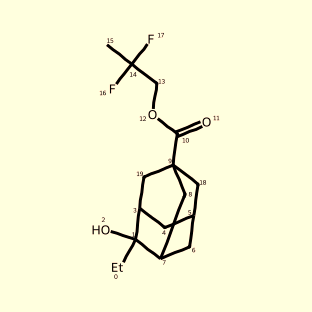 CCC1(O)C2CC3CC1CC(C(=O)OCC(C)(F)F)(C3)C2